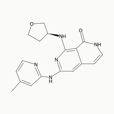 Cc1ccnc(Nc2cc3cc[nH]c(=O)c3c(N[C@H]3CCOC3)n2)c1